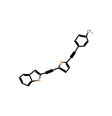 FC(F)(F)c1ccc(C#Cc2ccc(C#Cc3cc4ccccc4s3)s2)cc1